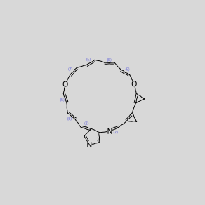 C1=NC=C2/N=C\C3=C(C3)C3=C(C3)O/C=C/C=C/C=C/C=C\O/C=C/C=C/C=C\12